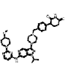 COC1CCN(c2nccc(Nc3cc4c(cn3)c(N3CCN(Cc5ccc(C6CCC(=O)NC6=O)cc5)CC3)nn4C(C)C)n2)CC1